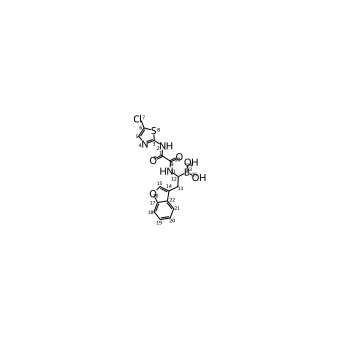 O=C(Nc1ncc(Cl)s1)C(=O)NC(Cc1coc2ccccc12)B(O)O